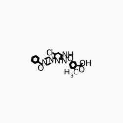 Cc1ccc(Oc2nc3c([nH]2)CC(Cl)C(N2CCN(C(=O)c4ccccc4)CC2)=N3)cc1C(=O)O